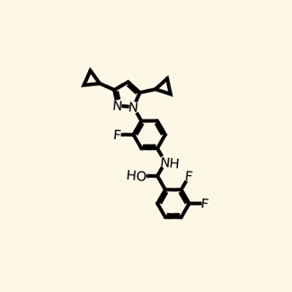 OC(Nc1ccc(-n2nc(C3CC3)cc2C2CC2)c(F)c1)c1cccc(F)c1F